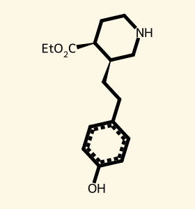 CCOC(=O)[C@H]1CCNC[C@H]1CCc1ccc(O)cc1